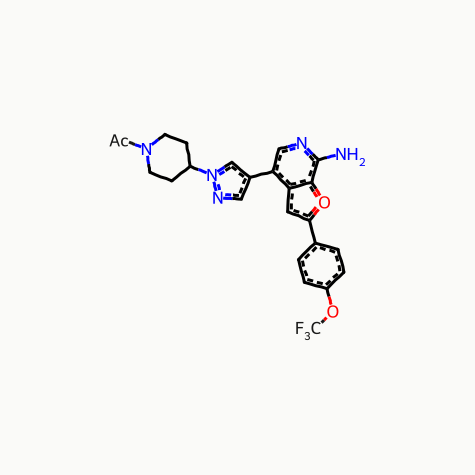 CC(=O)N1CCC(n2cc(-c3cnc(N)c4oc(-c5ccc(OC(F)(F)F)cc5)cc34)cn2)CC1